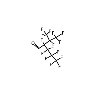 O=CC(F)(C(F)(F)C(F)(F)C(F)(F)F)C(F)(C(F)(F)F)C(F)(F)F